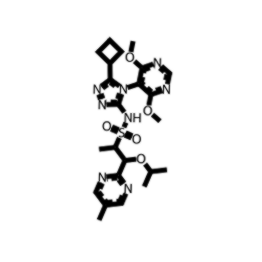 COc1ncnc(OC)c1-n1c(NS(=O)(=O)C(C)C(OC(C)C)c2ncc(C)cn2)nnc1C1CCC1